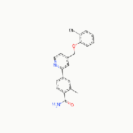 CCc1ccccc1OCc1ccnc(-c2ccc(C(N)=O)c(C)c2)c1